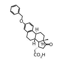 C[C@]12CC[C@@H]3c4ccc(OCc5ccccc5)cc4CC[C@H]3[C@@H]1[C@@H](CC(=O)O)CC2=O